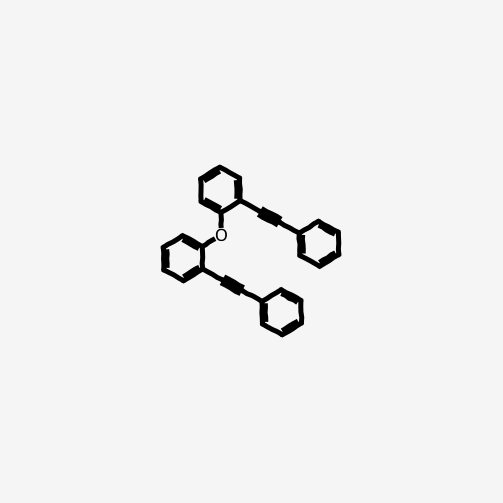 C(#Cc1ccccc1Oc1ccccc1C#Cc1ccccc1)c1ccccc1